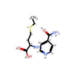 CCSCCC(N)C(=O)O.NC(=O)c1ccncc1